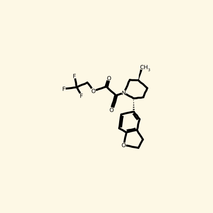 C[C@H]1CC[C@H](c2ccc3c(c2)CCO3)N(C(=O)C(=O)OCC(F)(F)F)C1